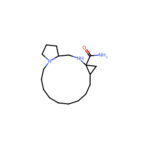 NC(=O)C12CC1CCCCCCCCCN1CCCC1CN2